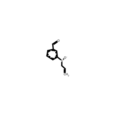 C=CC[S+]([O-])c1cccc([C]=O)c1